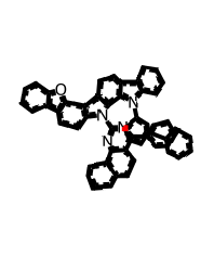 c1ccc(-c2cccc(-n3c4ccccc4c4ccc5c6c7oc8ccccc8c7ccc6n(-c6nc(-c7ccccc7)c7ccc8ccccc8c7n6)c5c43)c2)cc1